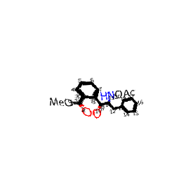 COC(=O)c1ccccc1C(=O)C(Cc1ccccc1)NOC(C)=O